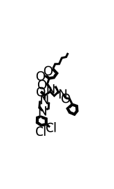 CCCCCc1ccc(C(=O)N2CC(=NOCc3ccccc3)CC2C(=O)N2CCN(c3ccc(Cl)c(Cl)c3)CC2)c(=O)o1